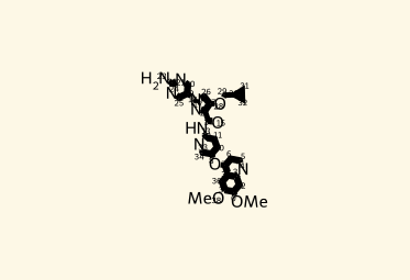 COc1cc2nccc(Oc3ccc(NC(=O)c4nn(-c5cnc(N)nc5)cc4OCC4CC4)nc3)c2cc1OC